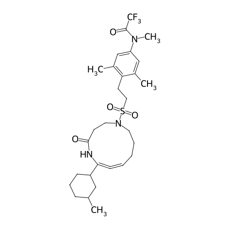 Cc1cc(N(C)C(=O)C(F)(F)F)cc(C)c1CCS(=O)(=O)N1CCCC=C=C(C2CCCC(C)C2)NC(=O)CC1